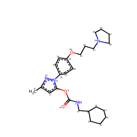 Cc1cc(OC(=O)NCC2CCCCC2)n(-c2ccc(OCCCN3CCCC3)cc2)n1